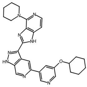 c1cc2[nH]c(-c3n[nH]c4cnc(-c5cncc(OC6CCCCC6)c5)cc34)nc2c(N2CCCCC2)n1